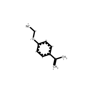 C=C(C)c1ccc(OCC#N)cc1